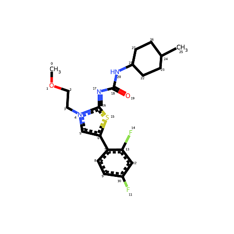 COCCn1cc(-c2ccc(F)cc2F)sc1=NC(=O)NC1CCC(C)CC1